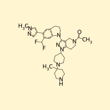 CC(=O)N1CCc2c(c(N3CCCc4cc(-c5cnn(C)c5)c(C(F)F)cc43)nn2C2CCN(C3(C)CCNCC3)CC2)C1